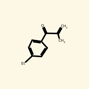 C=C(C)C(=O)c1ccc(CC)cc1